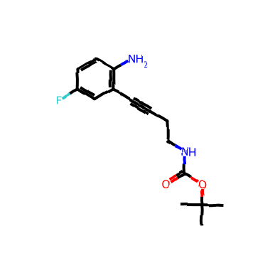 CC(C)(C)OC(=O)NCCC#Cc1cc(F)ccc1N